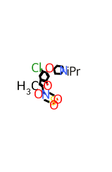 Cc1c(C(=O)N2CCS(=O)(=O)CC2)oc2cc(OC3CCN(C(C)C)CC3)c(Cl)cc12